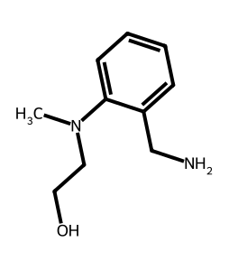 CN(CCO)c1ccccc1CN